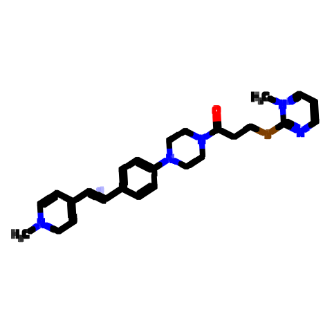 CN1C=CC(/C=C/c2ccc(N3CCN(C(=O)CCSc4nccc[n+]4C)CC3)cc2)=CC1